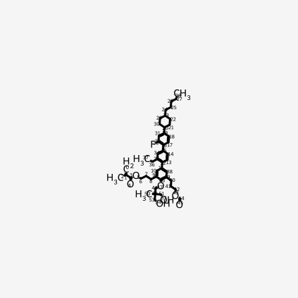 C=C(C)C(=O)OCCCc1cc(-c2ccc(-c3ccc(C4CCC(CCCCC)CC4)cc3F)cc2CC)cc(CCCOC=O)c1OCC(C)(CO)CO